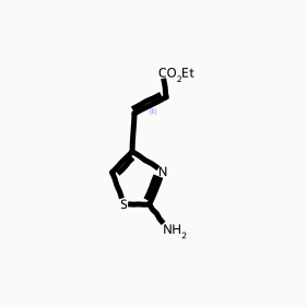 CCOC(=O)/C=C/c1csc(N)n1